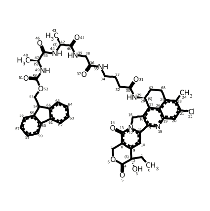 CC[C@@]1(O)C(=O)OCc2c1cc1n(c2=O)Cc2c-1nc1cc(Cl)c(C)c3c1c2[C@@H](NC(=O)CCCNC(=O)CNC(=O)[C@H](C)NC(=O)[C@H](C)NC(=O)OCC1c2ccccc2-c2ccccc21)CC3